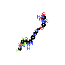 O=C1CCC(N2Cc3cc(OCCCN4CC5(C4)CN(c4ccc(-c6cnc7[nH]cc(C(=O)c8c(F)ccc(N[S+]([O-])N9CCC(F)C9)c8F)c7c6)cc4)C5)ccc3C2=O)C(=O)N1